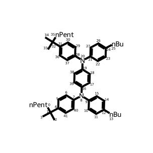 CCCCCC(C)(C)c1ccc(N(c2ccc(CCCC)cc2)c2ccc(N(c3ccc(CCCC)cc3)c3ccc(C(C)(C)CCCCC)cc3)cc2)cc1